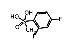 CS(=O)(O)(O)c1ccc(F)cc1F